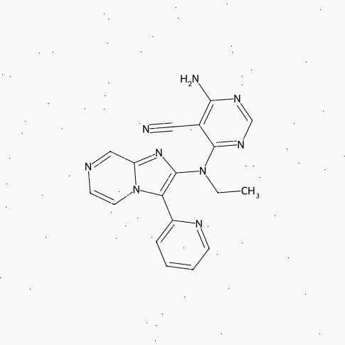 CCN(c1ncnc(N)c1C#N)c1nc2cnccn2c1-c1ccccn1